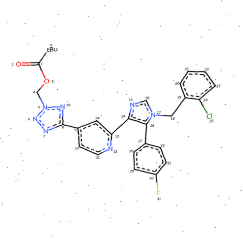 CC(C)(C)C(=O)OCn1nnc(-c2ccnc(-c3ncn(Cc4ccccc4Cl)c3-c3ccc(F)cc3)c2)n1